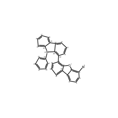 Brc1cccc2c1oc1c(-c3cccc4c5ccccc5n(-c5ccccc5)c34)cccc12